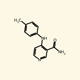 Cc1ccc(Nc2ccncc2C(N)=O)cc1